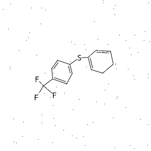 FC(F)(F)c1ccc(SC2=CC[CH]C=C2)cc1